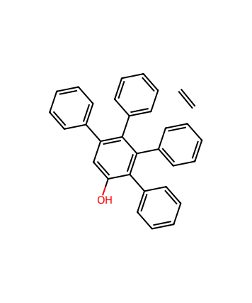 C=C.Oc1cc(-c2ccccc2)c(-c2ccccc2)c(-c2ccccc2)c1-c1ccccc1